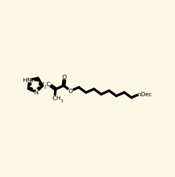 C=C(C)C(=O)OCCCCCCCCCCCCCCCCCC.c1c[nH]cn1